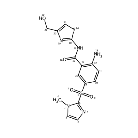 Cn1ccnc1S(=O)(=O)c1ccc(N)c(C(=O)Nc2nc(CO)cs2)c1